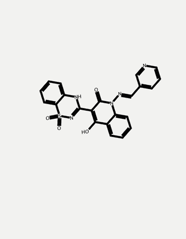 O=c1c(C2=NS(=O)(=O)c3ccccc3N2)c(O)c2ccccc2n1/N=C/c1cccnc1